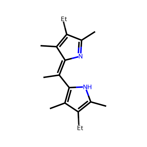 CCC1=C(C)/C(=C(\C)c2[nH]c(C)c(CC)c2C)N=C1C